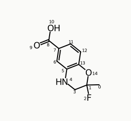 CC1(F)CNc2cc(C(=O)O)ccc2O1